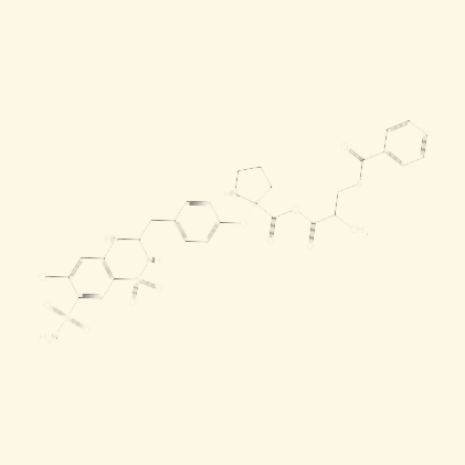 CC(CSC(=O)c1ccccc1)C(=O)OC(=O)[C@]1(Oc2ccc(CC3Nc4cc(Cl)c(S(N)(=O)=O)cc4S(=O)(=O)N3)cc2)CCCN1